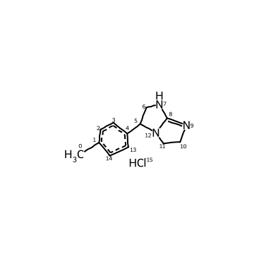 Cc1ccc(C2CNC3=NCCN32)cc1.Cl